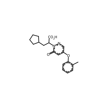 Cc1ccccc1Oc1cnn(C(CC2CCCC2)C(=O)O)c(=O)c1